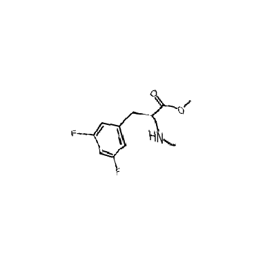 CN[C@@H](Cc1cc(F)cc(F)c1)C(=O)OC